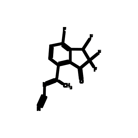 C/S(=N\C#N)c1ccc(F)c2c1C(=O)C(F)(F)C2F